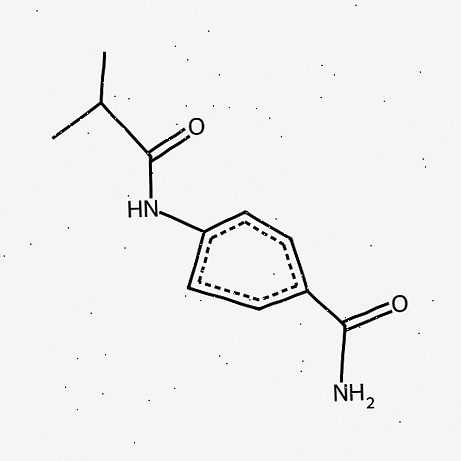 CC(C)C(=O)Nc1ccc(C(N)=O)cc1